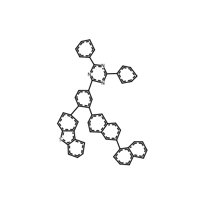 c1ccc(-c2nc(-c3ccccc3)nc(-c3ccc(-c4ccc5sc6ccccc6c5c4)c(-c4ccc5cc(-c6cccc7ccccc67)ccc5c4)c3)n2)cc1